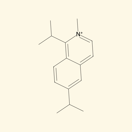 CC(C)c1ccc2c(C(C)C)[n+](C)ccc2c1